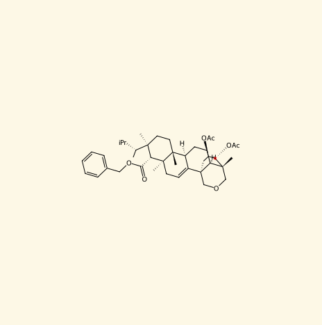 CC(=O)O[C@@H]1C[C@@]23COC[C@](C)([C@@H]2CC[C@H]2C3=CC[C@@]3(C)[C@H](C(=O)OCc4ccccc4)[C@@](C)([C@H](C)C(C)C)CC[C@]23C)[C@H]1OC(C)=O